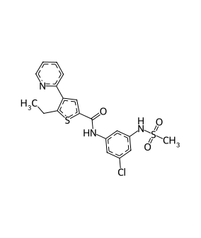 CCc1sc(C(=O)Nc2cc(Cl)cc(NS(C)(=O)=O)c2)cc1-c1ccccn1